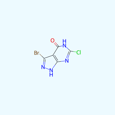 O=c1[nH]c(Cl)nc2[nH]nc(Br)c12